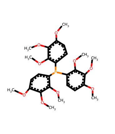 COc1ccc(P(c2ccc(OC)c(OC)c2OC)c2ccc(OC)c(OC)c2OC)c(OC)c1OC